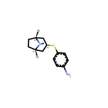 CN1[C@@H]2CC[C@H]1C[C@H](Sc1ccc(N)cc1)C2